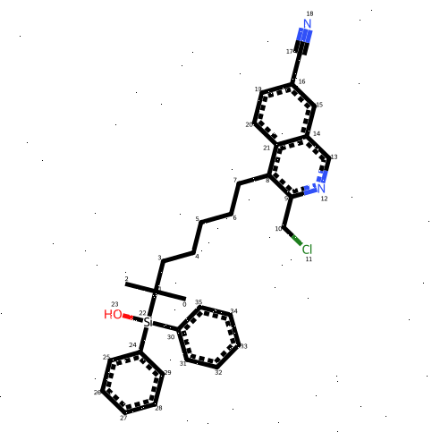 CC(C)(CCCCCc1c(CCl)ncc2cc(C#N)ccc12)[Si](O)(c1ccccc1)c1ccccc1